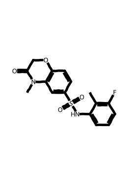 Cc1c(F)cccc1NS(=O)(=O)c1ccc2c(c1)N(C)C(=O)CO2